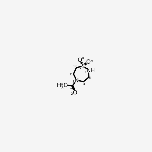 CC(=O)N1CCNS(=O)(=O)CC1